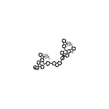 CC1(C)c2ccccc2-c2ccc(N(c3ccc(-c4ccc5c(ccc6ccc(C78CC9CC(C7)C7(c%10ccccc%10-c%10c(N(c%11ccc%12c(c%11)C(C)(C)c%11ccccc%11-%12)c%11ccc%12sc%13ccccc%13c%12c%11)cccc%107)C(C9)C8)cc65)c4)cc3)c3cccc4c3-c3ccccc3C43C4CC5CC(C4)CC3C5)cc21